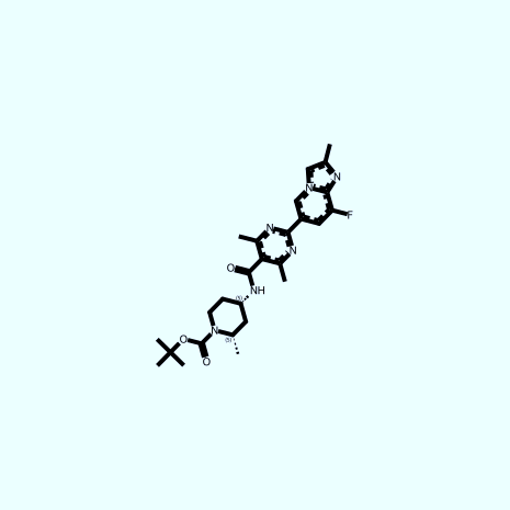 Cc1cn2cc(-c3nc(C)c(C(=O)N[C@H]4CCN(C(=O)OC(C)(C)C)[C@@H](C)C4)c(C)n3)cc(F)c2n1